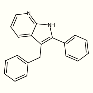 c1ccc(Cc2c(-c3ccccc3)[nH]c3ncccc23)cc1